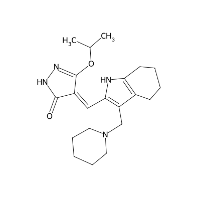 CC(C)OC1=NNC(=O)C1=Cc1[nH]c2c(c1CN1CCCCC1)CCCC2